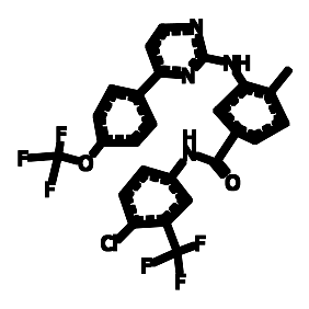 Cc1ccc(C(=O)Nc2ccc(Cl)c(C(F)(F)F)c2)cc1Nc1nccc(-c2ccc(OC(F)(F)F)cc2)n1